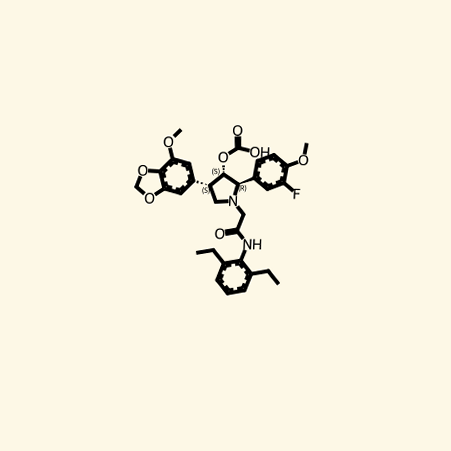 CCc1cccc(CC)c1NC(=O)CN1C[C@H](c2cc(OC)c3c(c2)OCO3)[C@H](OC(=O)O)[C@H]1c1ccc(OC)c(F)c1